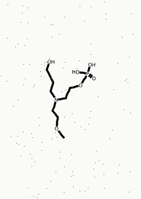 COCCN(CCCO)CCOP(=O)(O)O